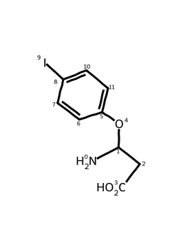 NC(CC(=O)O)Oc1ccc(I)cc1